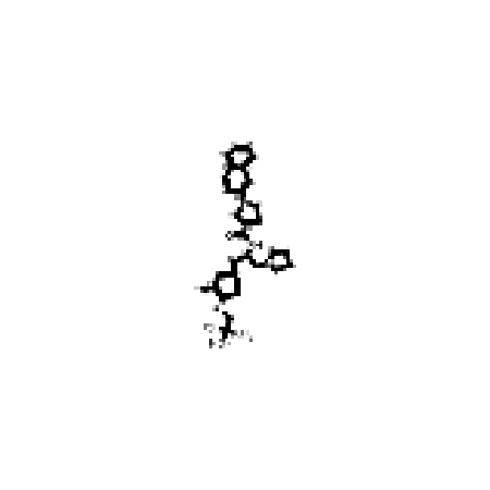 CC(C)(O)COc1ccc(CC(CN2CCCC2)NC(=O)[C@@H]2CCN(c3ccc4ccccc4c3)C2)cc1Cl